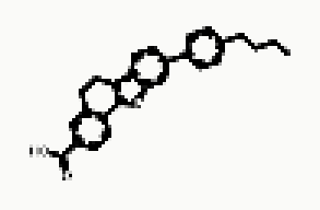 CCCCc1ccc(-c2ccc3c4c([nH]c3c2)-c2ccc(C(=O)O)cc2CC4)cc1